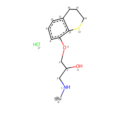 CC(C)(C)NCC(O)COc1cccc2c1SCCC2.Cl